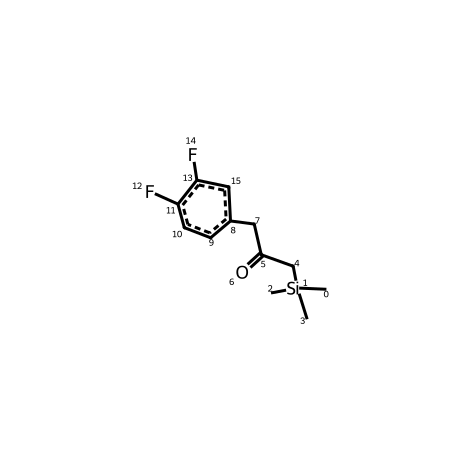 C[Si](C)(C)CC(=O)Cc1ccc(F)c(F)c1